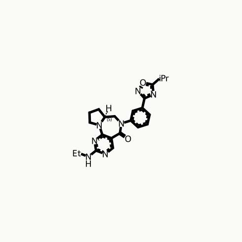 CCNc1ncc2c(n1)N1CCC[C@H]1CN(c1cccc(-c3noc(C(C)C)n3)c1)C2=O